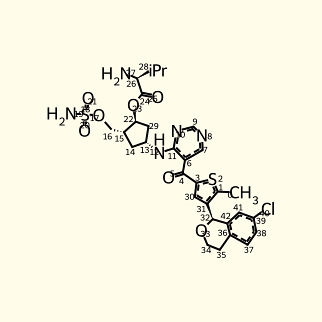 Cc1sc(C(=O)c2cncnc2N[C@@H]2C[C@H](COS(N)(=O)=O)[C@@H](OC(=O)[C@@H](N)C(C)C)C2)cc1[C@@H]1OCCc2ccc(Cl)cc21